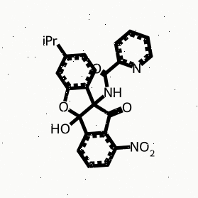 CC(C)c1ccc2c(c1)OC1(O)c3cccc([N+](=O)[O-])c3C(=O)C21NC(=O)c1ccccn1